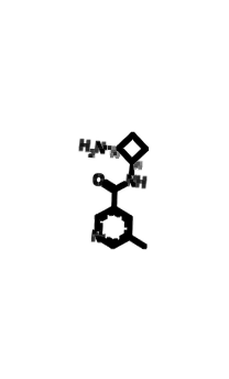 Cc1cncc(C(=O)N[C@@H]2CC[C@H]2N)c1